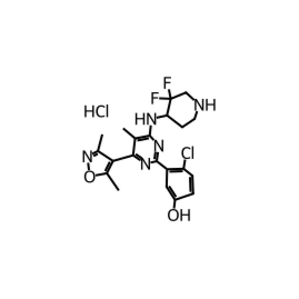 Cc1noc(C)c1-c1nc(-c2cc(O)ccc2Cl)nc(NC2CCNCC2(F)F)c1C.Cl